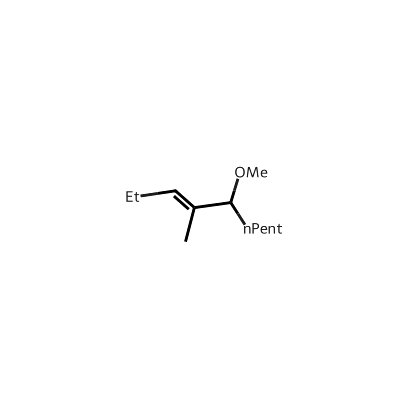 CC/C=C(\C)C(CCCCC)OC